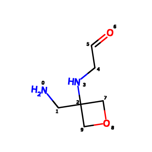 NCC1(NCC=O)COC1